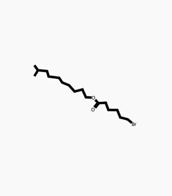 CC(C)CCCCCCCCOC(=O)CCCCCBr